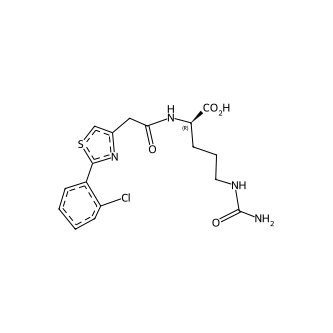 NC(=O)NCCC[C@@H](NC(=O)Cc1csc(-c2ccccc2Cl)n1)C(=O)O